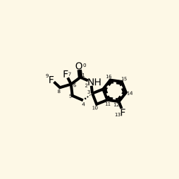 O=C1N[C@]2(CCC1(F)CF)Cc1c(F)cccc12